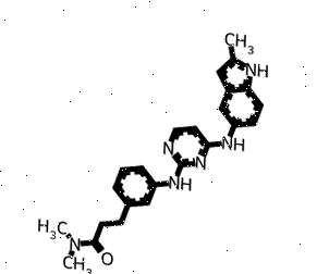 Cc1cc2cc(Nc3ccnc(Nc4cccc(CCC(=O)N(C)C)c4)n3)ccc2[nH]1